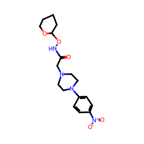 O=C(CN1CCN(c2ccc([N+](=O)[O-])cc2)CC1)NOC1CCCCO1